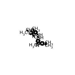 COc1ccc(NC(=O)Nc2ccc(OC)c(C3(C#N)CCN(C(C)C)CC3)c2)cc1C1(C#N)CCN(C(C)C)CC1